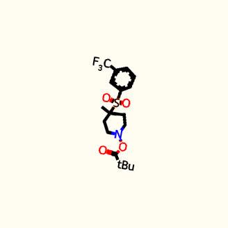 CC(C)(C)C(=O)ON1CCC(C)(S(=O)(=O)c2cccc(C(F)(F)F)c2)CC1